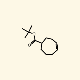 CC(C)(C)OC(=O)C1CCC=CCCC1